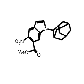 COC(=O)c1cc2c(ccn2C2C3CC4CC(C3)CC2C4)cc1[N+](=O)[O-]